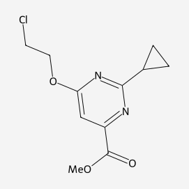 COC(=O)c1cc(OCCCl)nc(C2CC2)n1